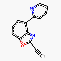 C#Cc1nc2c(-c3ccccn3)cccc2o1